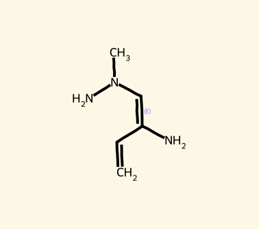 C=C/C(N)=C\N(C)N